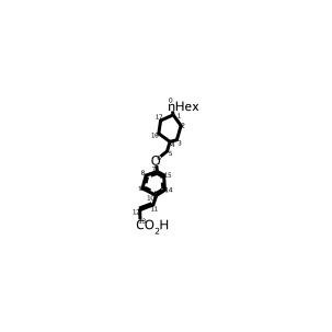 CCCCCCC1CCC(COc2ccc(/C=C/C(=O)O)cc2)CC1